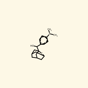 CN(C)c1ccc(C(O)C23CC4CC(CC(C4)C2)C3)cc1